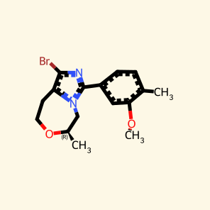 COc1cc(-c2nc(Br)c3n2C[C@@H](C)OCC3)ccc1C